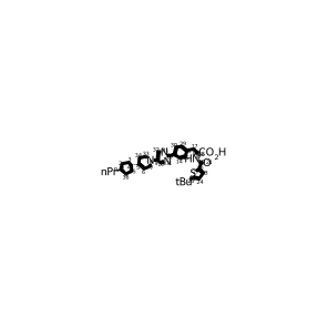 CCC[C@H]1CC[C@H](C2=CCN(c3cnc(-c4ccc(C[C@H](NC(=O)c5ccc(C(C)(C)C)s5)C(=O)O)cc4)nc3)CC2)CC1